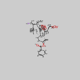 C=C1[C@@H](OC(=O)c2ccccc2)CC[C@@](C)([C@@H](OC(C)=O)[C@H](OC(C)=O)/C(=C(\C)I)C(C)C)[C@@H]1[C@H](O)CCO